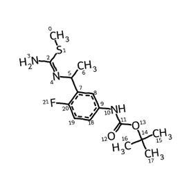 CS/C(N)=N\C(C)c1cc(NC(=O)OC(C)(C)C)ccc1F